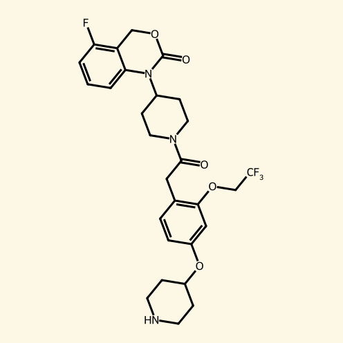 O=C(Cc1ccc(OC2CCNCC2)cc1OCC(F)(F)F)N1CCC(N2C(=O)OCc3c(F)cccc32)CC1